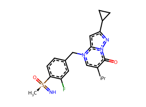 CC(C)c1cn(Cc2ccc([S@](C)(=N)=O)c(F)c2)c2cc(C3CC3)nn2c1=O